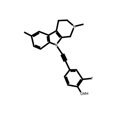 COc1ccc(C#Cn2c3c(c4cc(C)ccc42)CCN(C)C3)cc1F